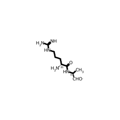 C[C@@H]([C]=O)NC(=O)[C@H](N)CCCNC(=N)N